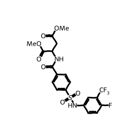 COC(=O)CC(NC(=O)c1ccc(S(=O)(=O)Nc2ccc(F)c(C(F)(F)F)c2)cc1)C(=O)OC